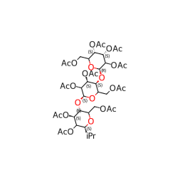 CC(=O)OCC1O[C@@H](C(C)C)C(OC(C)=O)[C@@H](OC(C)=O)[C@@H]1O[C@@H]1OC(COC(C)=O)[C@H](O[C@H]2OC(COC(C)=O)[C@H](OC(C)=O)[C@H](OC(C)=O)C2OC(C)=O)[C@H](OC(C)=O)C1OC(C)=O